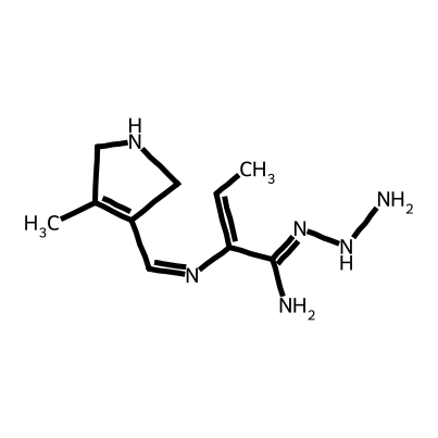 CC=C(/N=C\C1=C(C)CNC1)/C(N)=N/NN